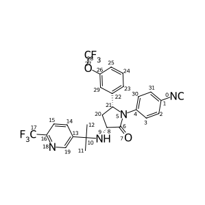 [C-]#[N+]c1ccc(N2C(=O)[C@H](NC(C)(C)c3ccc(C(F)(F)F)nc3)C[C@@H]2c2cccc(OC(F)(F)F)c2)cc1